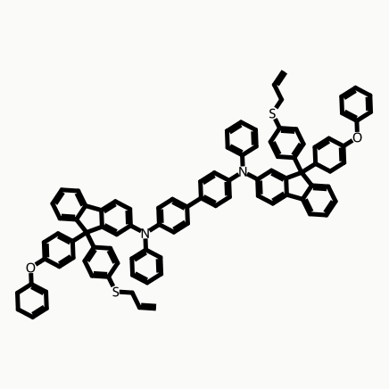 C=CCSc1ccc(C2(c3ccc(OC4=CC=CCC4)cc3)c3ccccc3-c3ccc(N(c4ccccc4)c4ccc(-c5ccc(N(c6ccccc6)c6ccc7c(c6)C(c6ccc(SCC=C)cc6)(C6C=CC(Oc8ccccc8)=CC6)c6ccccc6-7)cc5)cc4)cc32)cc1